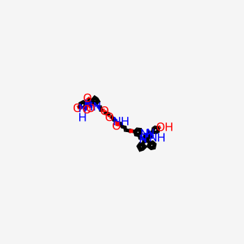 N=c1c2c(-c3ccccc3)c(-c3ccccc3)n(Cc3cccc(C#CCCCCC(=O)NCCOCCOCCNc4cccc5c4C(=O)N(C4CCC(=O)NC4=O)C5=O)c3)c2ncn1C1CCC(O)CC1